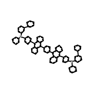 c1ccc(-c2cccc(N(c3ccccc3)c3ccc(-c4c5ccccc5c(-c5ccc(-c6c7ccccc7c(-c7ccc(N(c8ccccc8)c8cccc(-c9ccccc9)c8)cc7)c7ccccc67)cc5)c5ccccc45)cc3)c2)cc1